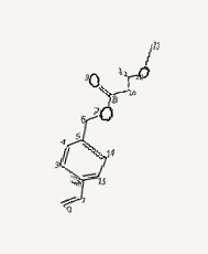 C=Cc1ccc(COC(=O)CCOC)cc1